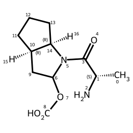 C[C@H](N)C(=O)N1C(OC(=O)O)C[C@H]2CCC[C@H]21